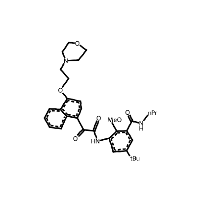 CCCNC(=O)c1cc(C(C)(C)C)cc(NC(=O)C(=O)c2ccc(OCCN3CCOCC3)c3ccccc23)c1OC